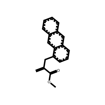 C=C(Cc1cccc2cc3ccccc3cc12)C(=O)OC